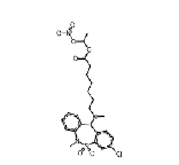 CC(OC(=O)CCCCCCN(C)C1c2ccccc2N(C)S(=O)(=O)c2cc(Cl)ccc21)O[N+](=O)[O-]